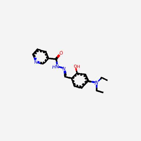 CCN(CC)c1ccc(C=NNC(=O)c2cccnc2)c(O)c1